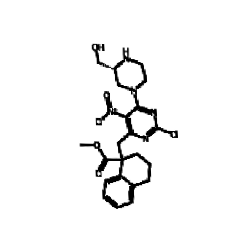 COC(=O)C1(Cc2nc(Cl)nc(N3CCN[C@@H](CO)C3)c2[N+](=O)[O-])CCCc2ccccc21